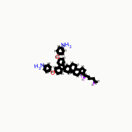 CC(I)CCCC(I)C1CCC2C3CCC4CC(C5=CCC(OC6=CC=C(N)CC6)CC5)(C5C=CC(Oc6ccc(N)cc6)CC5)CCC4(C)C3CCC12I